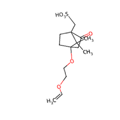 C=COCCOC12CCC(CS(=O)(=O)O)(C(=O)C1)C2(C)C